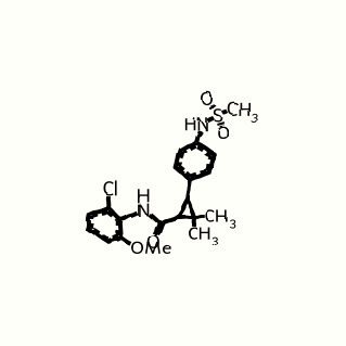 COc1cccc(Cl)c1NC(=O)C1C(c2ccc(NS(C)(=O)=O)cc2)C1(C)C